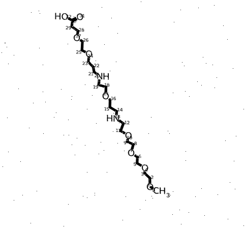 COCCOCCOCCOCCNCCCOCCNCCCOCCOCCC(=O)O